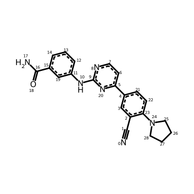 N#Cc1cc(-c2ccnc(Nc3cccc(C(N)=O)c3)n2)ccc1N1CCCC1